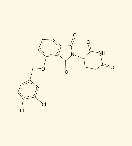 O=C1CCC(N2C(=O)c3cccc(OCc4ccc(Cl)c(Cl)c4)c3C2=O)C(=O)N1